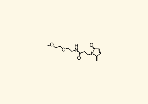 C=C1C=CC(=O)N1CCC(=O)NCCOCCOC